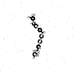 C[C@H]1CC2(CCN(c3ccc(C(=O)N4CCC(N5CCN(c6ccc(C(=O)N[C@H]7CCC(=O)NC7=O)nc6)CC5)CC4)cc3)CC2)CN1c1ccc(C#N)c(Cl)c1